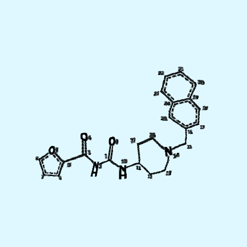 O=C(NC(=O)c1ccco1)NC1CCN(Cc2ccc3ccccc3c2)CC1